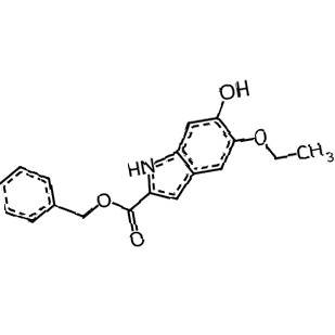 CCOc1cc2cc(C(=O)OCc3ccccc3)[nH]c2cc1O